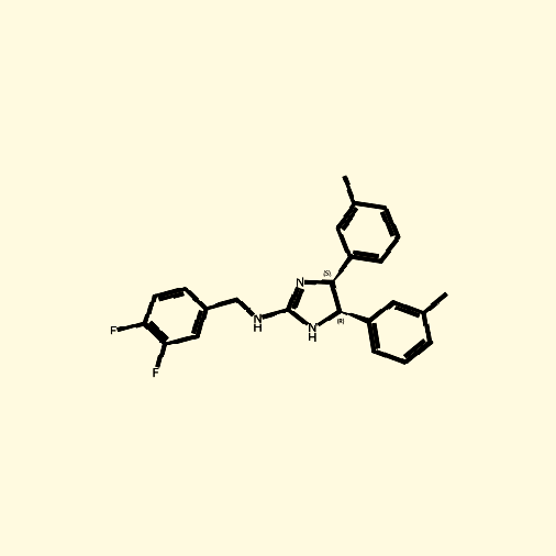 Cc1cccc([C@H]2NC(NCc3ccc(F)c(F)c3)=N[C@H]2c2cccc(C)c2)c1